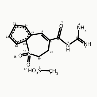 CS(=O)(=O)O.N=C(N)NC(=O)C1=Cc2ccccc2S(=O)(=O)CC1